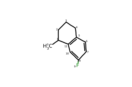 CC1CCCc2ccc(F)cc21